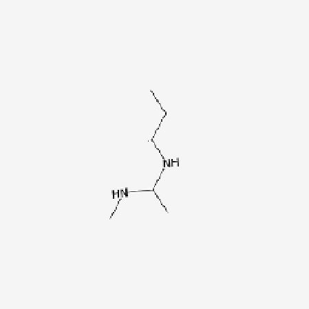 CC[CH]NC(C)NC